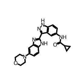 O=C(Nc1ccc2[nH]nc(-c3nc4cc(N5CCOCC5)ccc4[nH]3)c2c1)C1CC1